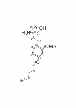 COc1cc(OCCCCC(C)C)ccc1CC[C@@](N)(CO)C(C)C